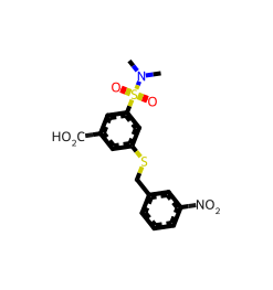 CN(C)S(=O)(=O)c1cc(SCc2cccc([N+](=O)[O-])c2)cc(C(=O)O)c1